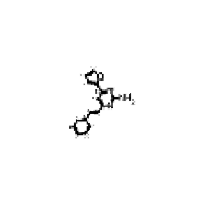 Nc1nc(C=Cc2ccccc2)cc(-c2ccco2)n1